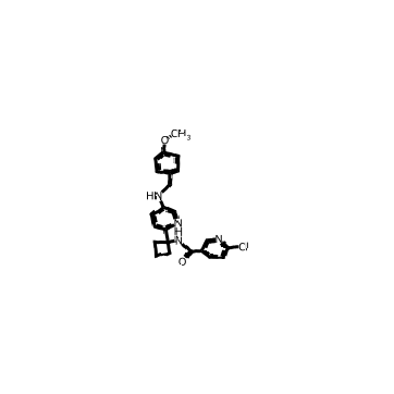 COc1ccc(CNc2ccc(C3(NC(=O)c4ccc(Cl)nc4)CCC3)nc2)cc1